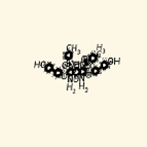 Cc1ccc([S+]([O-])Nc2cc(Oc3ccc(-c4ccc(O)cc4)cc3)c(N)c3c2C(=O)c2c(NS(=O)(=O)c4ccc(C)cc4)cc(Oc4ccc(-c5ccc(O)cc5)cc4)c(N)c2C3=O)cc1